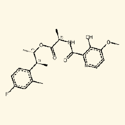 COc1ccnc(C(=O)N[C@H](C)C(=O)O[C@@H](C)[C@@H](C)c2ccc(F)cc2C)c1O